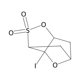 O=S1(=O)OC2CC3CC1C2(I)O3